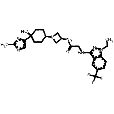 CCn1nc(NCC(=O)NC2CN(C3CCC(O)(c4cnc(C)s4)CC3)C2)c2cc(C(F)(F)F)ccc21